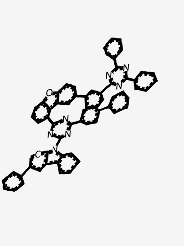 c1ccc(-c2ccc(-c3nc(-c4cccc5oc6ccc(-c7cccc(-c8nc(-c9ccccc9)nc(-c9ccccc9)n8)c7)cc6c45)nc(-n4c5ccccc5c5cc(-c6ccccc6)ccc54)n3)cc2)cc1